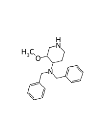 COC1CNCCC1N(Cc1ccccc1)Cc1ccccc1